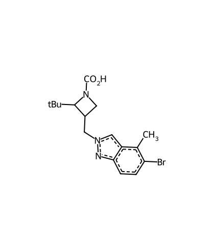 Cc1c(Br)ccc2nn(CC3CN(C(=O)O)C3C(C)(C)C)cc12